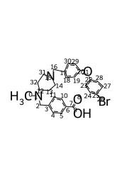 CN(Cc1ccc(C(=O)O)cc1)C1CCN(Cc2ccc(Oc3ccc(Br)cc3)cc2)CC1